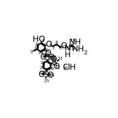 Cc1cc(O)c(OCCCONC(=N)N)c(OS(=O)(=O)c2ccc(S(C)(=O)=O)cc2S(C)(=O)=O)c1.Cl